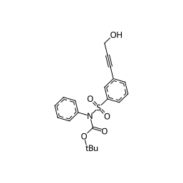 CC(C)(C)OC(=O)N(c1ccccc1)S(=O)(=O)c1cccc(C#CCO)c1